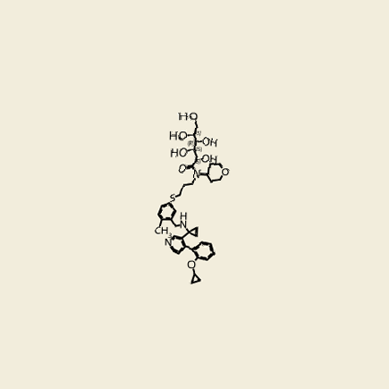 Cc1ccc(SCCCN(C(=O)[C@@H](O)[C@@H](O)[C@H](O)[C@@H](O)CO)C2CCOCC2)cc1CNC1(c2cnccc2-c2ccccc2OC2CC2)CC1